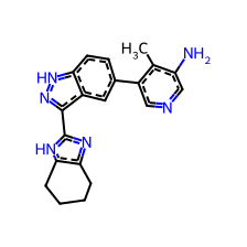 Cc1c(N)cncc1-c1ccc2[nH]nc(-c3nc4c([nH]3)CCCC4)c2c1